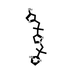 CC(C)(C)C1=CN=C(CC(C)(C)C2=N[N+](CC(C)(C)c3ncc[nH]3)=CC2)C1